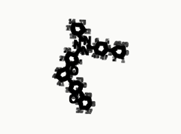 c1ccc(-c2ccc(-c3nc(-c4ccccc4)nc(-c4ccc5c(c4)oc4c(-c6ccc7c(c6)oc6ccccc67)cccc45)n3)cc2)cc1